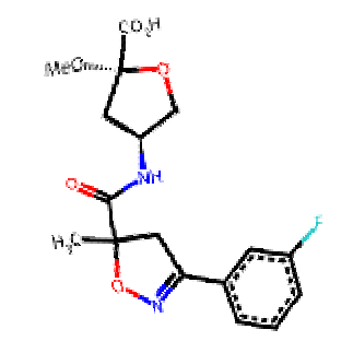 CO[C@@]1(C(=O)O)C[C@H](NC(=O)C2(C)CC(c3cccc(F)c3)=NO2)CO1